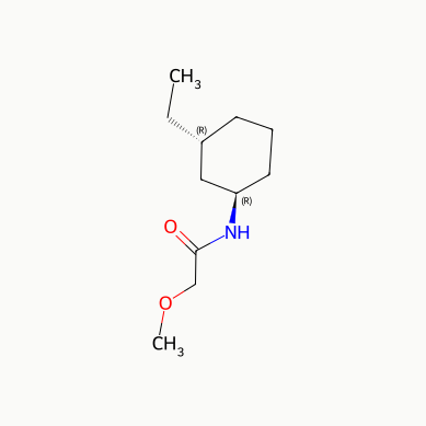 CC[C@@H]1CCC[C@@H](NC(=O)COC)C1